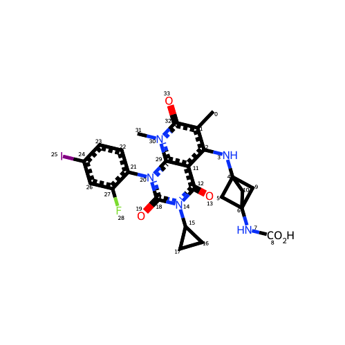 Cc1c(NC23CC(NC(=O)O)(C2)C3)c2c(=O)n(C3CC3)c(=O)n(-c3ccc(I)cc3F)c2n(C)c1=O